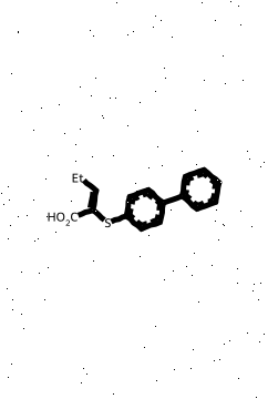 CCC=C(Sc1ccc(-c2ccccc2)cc1)C(=O)O